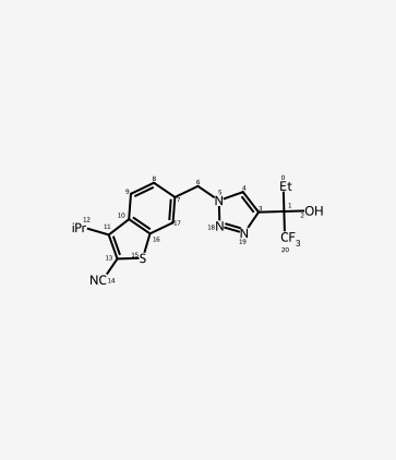 CCC(O)(c1cn(Cc2ccc3c(C(C)C)c(C#N)sc3c2)nn1)C(F)(F)F